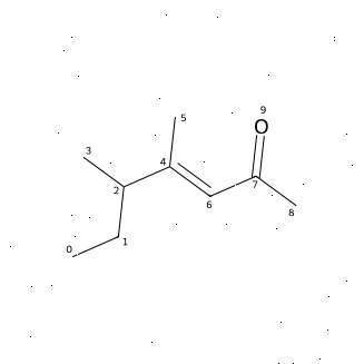 CCC(C)/C(C)=C/C(C)=O